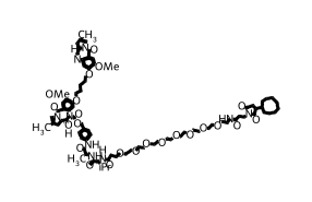 COc1cc2c(cc1OCCCCCOc1cc3c(cc1OC)C(=O)N1C=C(C)CC1[C@H](O)N3C(=O)OCc1ccc(NC(=O)[C@H](C)NC(=O)[C@@H](NC(=O)CCOCCOCCOCCOCCOCCOCCOCCOCCNC(=O)CCN3C(=O)CC(C4CCCCCCCC4)C3=O)C(C)C)cc1)N=C[C@@H]1CC(C)=CN1C2=O